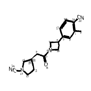 Cc1cc(C2CN(C(=O)C[C@H]3CCN(C#N)C3)C2)ccc1C#N